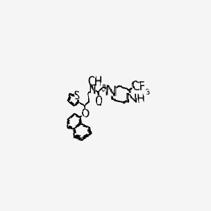 CN(CCC(Oc1cccc2ccccc12)c1cccs1)C(=O)CN1CCNC(C(F)(F)F)C1